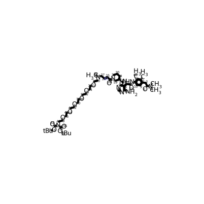 Cc1c(CC(=O)N(C)C)ccc(NC(=O)c2nn([C@@H]3CCCN(C(=O)/C=C/CN(C)CCOCCOCCOCCOCCOCCOCCN(C(=O)OC(C)(C)C)C(=O)OC(C)(C)C)C3)c3ncnc(N)c23)c1C